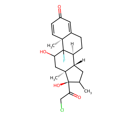 CC1C[C@H]2[C@@H]3CCC4=CC(=O)C=C[C@]4(C)C3(F)C(O)C[C@]2(C)[C@@]1(O)C(=O)CCl